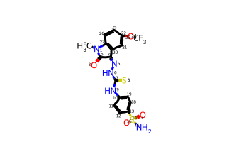 CN1C(=O)C(=NNC(=S)Nc2ccc(S(N)(=O)=O)cc2)c2cc(OC(F)(F)F)ccc21